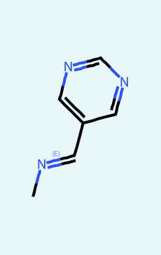 C/N=C/c1cncnc1